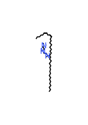 CCCCC/C=C\C/C=C\CCCCCCCCC(CCCCCCCCCCCCCCCCCC)N(C)CCN(C)CCN(C)C